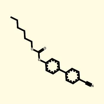 CCCCCCOC(=O)Oc1ccc(-c2ccc(C#N)cc2)cc1